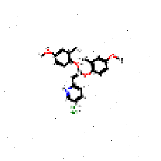 CCOc1ccc([O][Ti](=[CH]c2ccccn2)[O]c2ccc(OCC)cc2C(C)(C)C)c(C(C)(C)C)c1.Cl.Cl